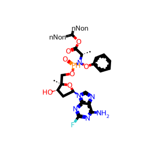 CCCCCCCCCC(CCCCCCCCC)OC(=O)[C@H](C)N(Oc1ccccc1)[PH](=O)OC[C@@]1(C)O[C@@H](n2cnc3c(N)nc(F)nc32)C[C@@H]1O